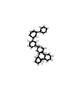 c1ccc(-c2cccc(-c3cccc(-c4cc5c6ccccc6c6ccccc6c5cn4)c3)c2)cc1